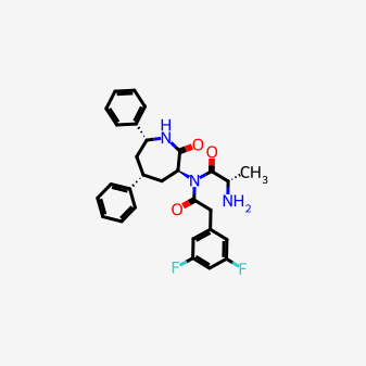 C[C@H](N)C(=O)N(C(=O)Cc1cc(F)cc(F)c1)[C@H]1C[C@H](c2ccccc2)C[C@H](c2ccccc2)NC1=O